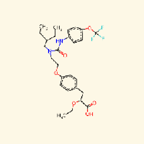 CCOC(Cc1ccc(OCCN(CC(CC)CC)C(=O)Nc2ccc(OC(F)(F)F)cc2)cc1)C(=O)O